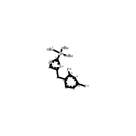 CCC[CH2][Sn]([CH2]CCC)([CH2]CCC)[c]1ncc(Cc2ccc(F)cc2F)s1